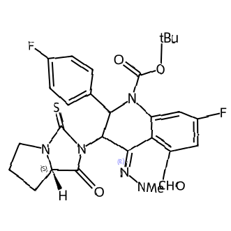 CN/N=C1\c2c(C=O)cc(F)cc2N(C(=O)OC(C)(C)C)C(c2ccc(F)cc2)C1N1C(=O)[C@@H]2CCCN2C1=S